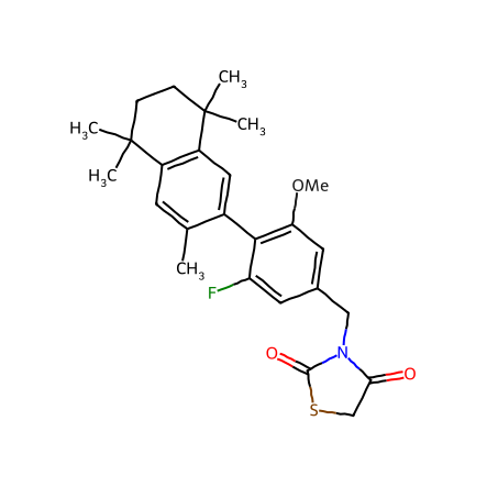 COc1cc(CN2C(=O)CSC2=O)cc(F)c1-c1cc2c(cc1C)C(C)(C)CCC2(C)C